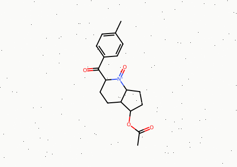 CC(=O)OC1CCC2C1CCC(C(=O)c1ccc(C)cc1)[N+]2=O